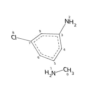 CN.Nc1cccc(Cl)c1